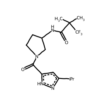 CC(C)c1cc(C(=O)N2CCC(NC(=O)C(C)(C)C(F)(F)F)C2)[nH]n1